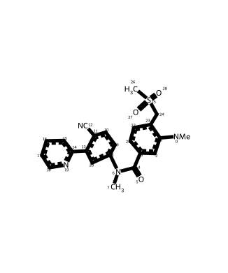 CNc1cc(C(=O)N(C)c2ccc(C#N)c(-c3ccccn3)c2)ccc1CS(C)(=O)=O